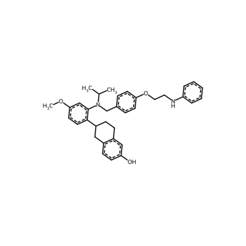 COc1ccc(C2CCc3cc(O)ccc3C2)c(N(Cc2ccc(OCCNc3ccccc3)cc2)C(C)C)c1